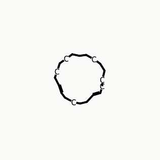 C1=C/CCCCCCCCCCCC/C=C/CCCC/1